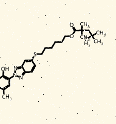 Cc1ccc(O)c(-n2nc3ccc(SCCCCCCOC(=O)C(C)(C)CC(C)(C)C)cc3n2)c1